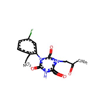 COC(=O)Cn1c(=O)[nH]c(=O)n(-c2cc(F)ccc2[N+](=O)[O-])c1=O